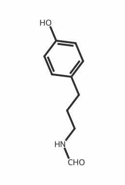 O=CNCCCc1ccc(O)cc1